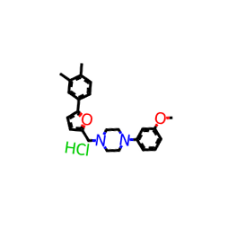 COc1cccc(N2CCN(Cc3ccc(-c4ccc(C)c(C)c4)o3)CC2)c1.Cl